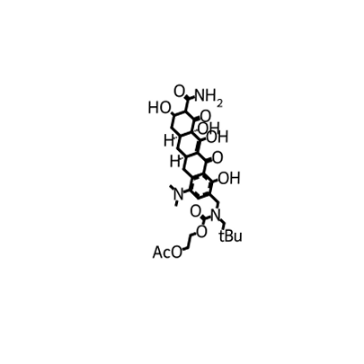 CC(=O)OCCOC(=O)N(Cc1cc(N(C)C)c2c(c1O)C(=O)C1=C(O)[C@]3(O)C(=O)C(C(N)=O)C(O)C[C@@H]3C[C@@H]1C2)CC(C)(C)C